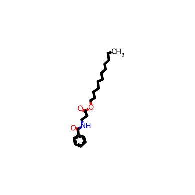 CCCCCCCCCCCCOC(=O)CCNC(=O)c1ccccc1